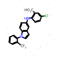 O=C(O)c1cc(Cl)ccc1Nc1ccc2c(ccn2-c2ccccc2C(F)(F)F)c1